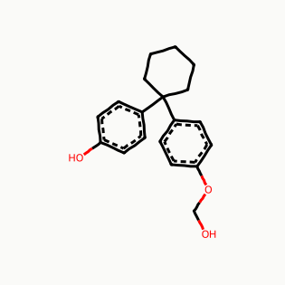 OCOc1ccc(C2(c3ccc(O)cc3)CCCCC2)cc1